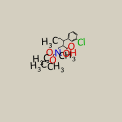 CCC(c1cccc(Cl)c1)C(CN(C)C(=O)OC(C)(C)C)C(=O)O